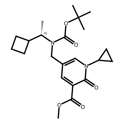 COC(=O)c1cc(CN(C(=O)OC(C)(C)C)[C@@H](C)C2CCC2)cn(C2CC2)c1=O